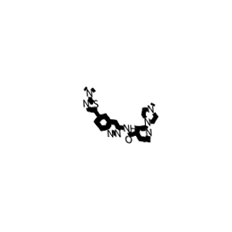 CN1CCN(c2cc(C(=O)Nc3cc4cc(-c5cnc(N(C)C)s5)ccc4nn3)ccn2)CC1